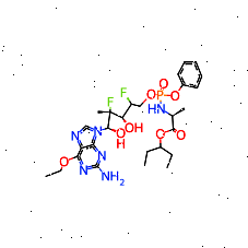 CCOc1nc(N)nc2c1ncn2[C@H](O)[C@](C)(F)[C@H](O)[C@@H](F)COP(=O)(N[C@@H](C)C(=O)OC(CC)CC)Oc1ccccc1